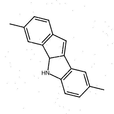 Cc1ccc2c(c1)C1=Cc3ccc(C)cc3C1N2